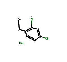 Cl.Clc1ccc([CH2][Zn])c(Cl)c1